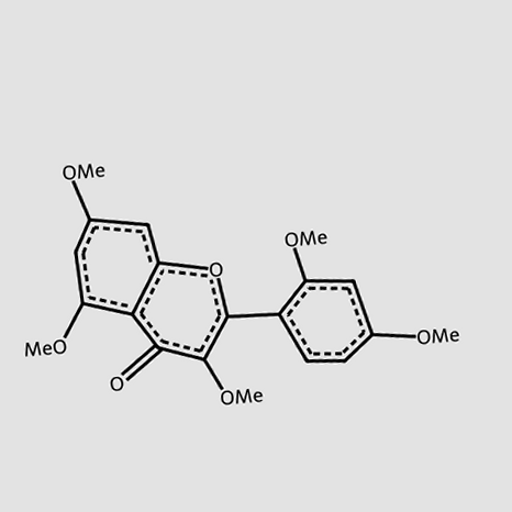 COc1ccc(-c2oc3cc(OC)cc(OC)c3c(=O)c2OC)c(OC)c1